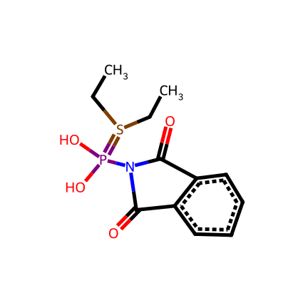 CCS(CC)=P(O)(O)N1C(=O)c2ccccc2C1=O